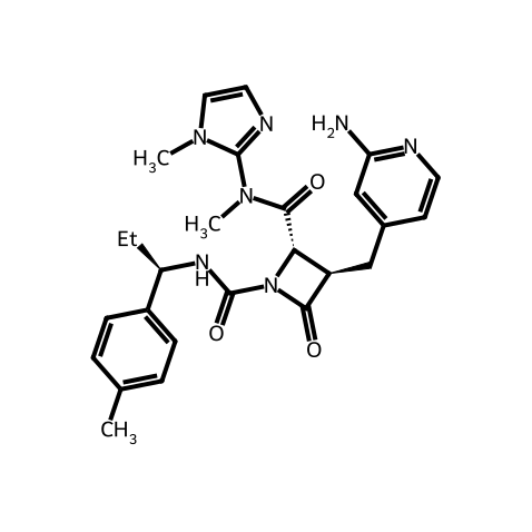 CC[C@@H](NC(=O)N1C(=O)[C@H](Cc2ccnc(N)c2)[C@H]1C(=O)N(C)c1nccn1C)c1ccc(C)cc1